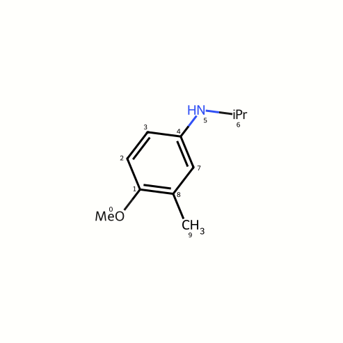 COc1ccc(NC(C)C)cc1C